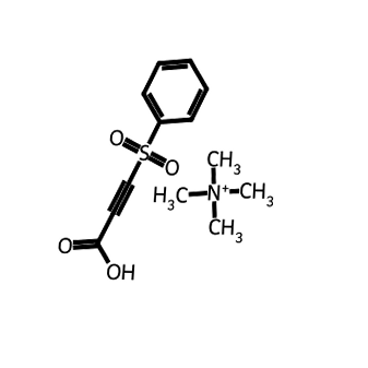 C[N+](C)(C)C.O=C(O)C#CS(=O)(=O)c1ccccc1